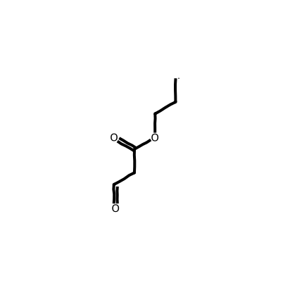 [CH2]CCOC(=O)CC=O